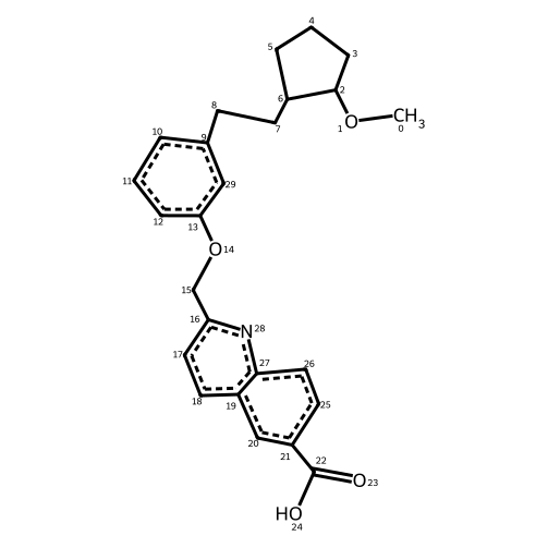 COC1CCCC1CCc1cccc(OCc2ccc3cc(C(=O)O)ccc3n2)c1